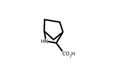 O=C(O)C1NC2CCC1C2